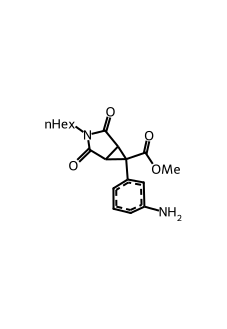 CCCCCCN1C(=O)C2C(C1=O)C2(C(=O)OC)c1cccc(N)c1